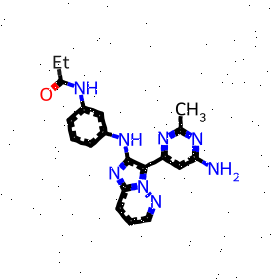 CCC(=O)Nc1cccc(Nc2nc3cccnn3c2-c2cc(N)nc(C)n2)c1